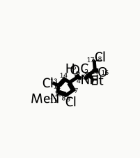 CCC(C)(NC(=O)c1cc(Cl)c(NC)c(Cl)c1)C(=O)CCl